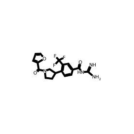 N=C(N)NC(=O)c1ccc(C2CCN(C(=O)c3ccco3)C2)c(C(F)(F)F)c1